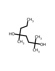 CCCC(C)(O)CCC(C)(C)O